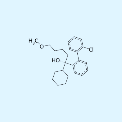 COCCCC[C@@](O)(c1ccccc1-c1ccccc1Cl)C1CCCCC1